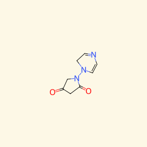 O=C1CC(=O)N(N2C=CN=CC2)C1